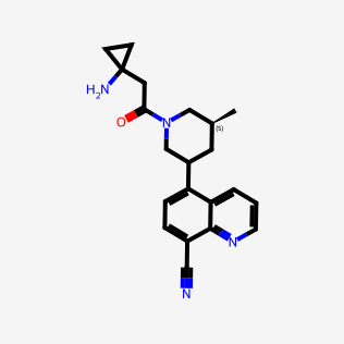 C[C@H]1CC(c2ccc(C#N)c3ncccc23)CN(C(=O)CC2(N)CC2)C1